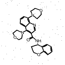 O=C(N[C@H]1CCOc2ccccc21)c1cnc2c(N3CCOCC3)cccc2c1N1CCOCC1